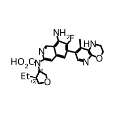 CC[C@@H]1COC[C@@H]1N(C(=O)O)c1cc2cc(-c3cnc4c(c3C)NCCO4)c(F)c(N)c2cn1